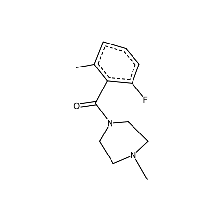 Cc1cccc(F)c1C(=O)N1CCN(C)CC1